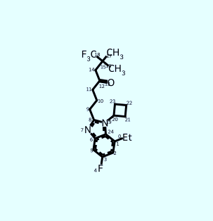 CCc1cc(F)cc2nc(CCCC(=O)CC(C)(C)C(F)(F)F)n(C3CCC3)c12